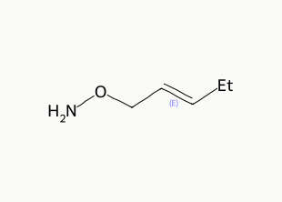 CC/C=C/CON